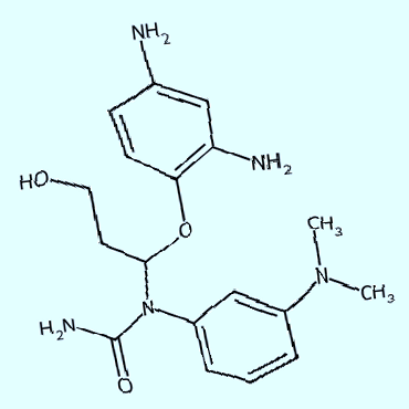 CN(C)c1cccc(N(C(N)=O)C(CCO)Oc2ccc(N)cc2N)c1